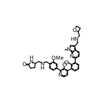 COc1cc(-c2nccc(-c3cccc(-c4ccc5c(CNCC6CCO6)cn(C)c5n4)c3Cl)c2Cl)ccc1CNCC1CCC(=O)N1